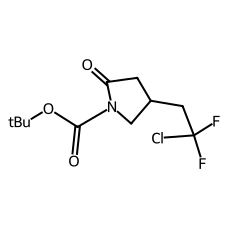 CC(C)(C)OC(=O)N1CC(CC(F)(F)Cl)CC1=O